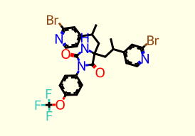 CC(CC1(CC(C)c2ccnc(Br)c2)NC(=O)N(c2ccc(OC(F)(F)F)cc2)C1=O)c1ccnc(Br)c1